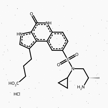 C[C@H](N)CN(C1CC1)S(=O)(=O)c1ccc2[nH]c(=O)c3[nH]cc(CCCC(=O)O)c3c2c1.Cl